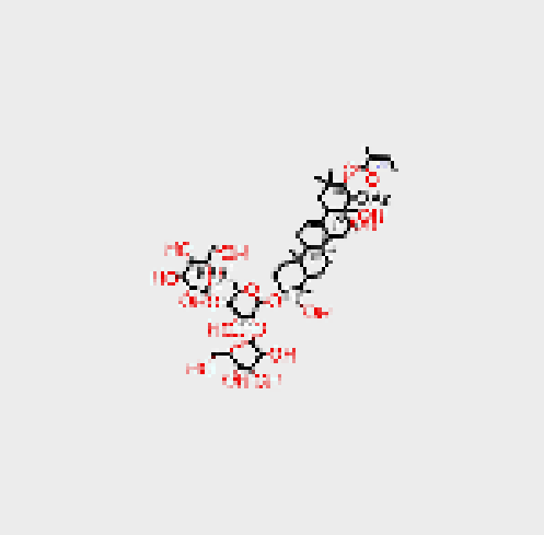 C/C=C(/C)C(=O)O[C@H]1[C@H](OC(C)=O)[C@@]2(CO)C(CC1(C)C)C1=CCC3[C@@]4(C)CC[C@H](O[C@@H]5OC(C(=O)O)[C@@H](O[C@@H]6OC(CO)[C@@H](O)[C@@H](O)C6O)[C@@H](O)C5O[C@@H]5OC(CO)[C@@H](O)[C@@H](O)C5O)[C@@](C)(CO)C4CC[C@@]3(C)[C@]1(C)C[C@H]2O